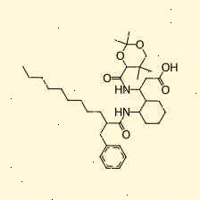 CCCCCCCCCC(Cc1ccccc1)C(=O)NC1CCCCC1C(CC(=O)O)NC(=O)C1OC(C)(C)OCC1(C)C